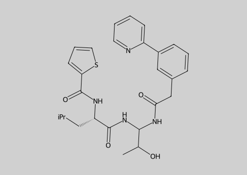 CC(C)C[C@H](NC(=O)c1cccs1)C(=O)NC(NC(=O)Cc1cccc(-c2ccccn2)c1)C(C)O